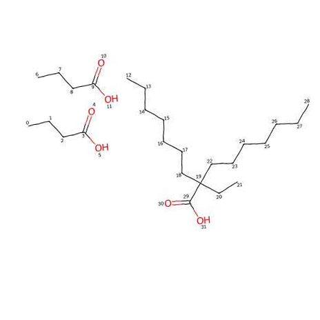 CCCC(=O)O.CCCC(=O)O.CCCCCCCC(CC)(CCCCCCC)C(=O)O